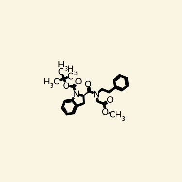 COC(=O)CN(CCc1ccccc1)C(=O)[C@H]1Cc2ccccc2N1C(=O)OC(C)(C)C